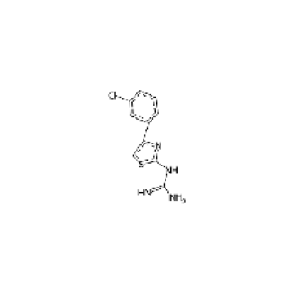 N=C(N)Nc1nc(-c2cccc(Cl)c2)cs1